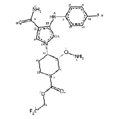 NO[C@@H]1CN(C(=O)OCC(F)(F)F)CC[C@@H]1n1cc(C(N)=O)c(Nc2ccc(F)cc2)n1